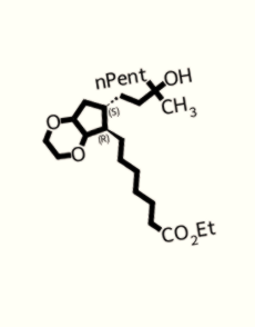 CCCCCC(C)(O)CC[C@H]1CC2OCCOC2[C@@H]1CCCCCCC(=O)OCC